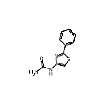 NC(=O)Nc1csc(-c2ccccc2)n1